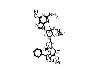 CCCCC(OP(=O)(N[C@@H](C)C(=O)OC(C)C)OC[C@H]1O[C@H](n2cnc3c(OCC)nc(N)nc32)[C@](C)(N=[N+]=[N-])[C@@H]1O)c1ccccc1